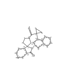 O=C1OC2(CCN(C(=O)C3(c4ccnc5ccccc45)CC3)C2)c2ccncc21